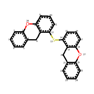 c1ccc2c(c1)Cc1c(cccc1Sc1cccc3c1Cc1ccccc1O3)O2